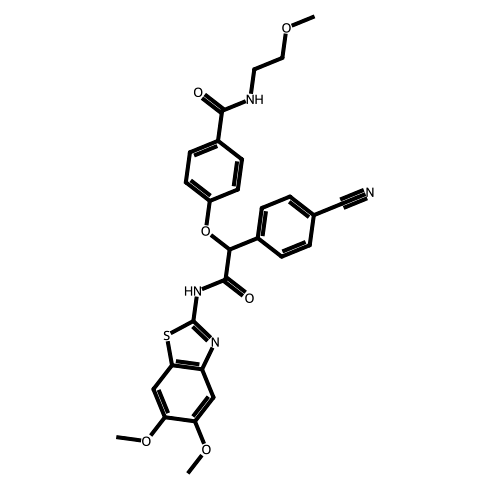 COCCNC(=O)c1ccc(OC(C(=O)Nc2nc3cc(OC)c(OC)cc3s2)c2ccc(C#N)cc2)cc1